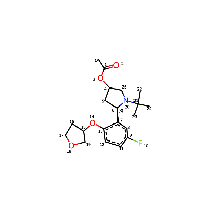 CC(=O)OC1C[C@H](c2cc(F)ccc2OC2CCOC2)N(C(C)(C)C)C1